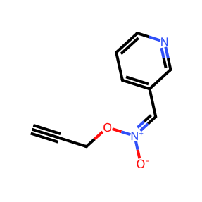 C#CCO[N+]([O-])=Cc1cccnc1